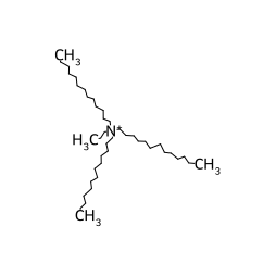 CCCCCCCCCCCCC[N+](CCC)(CCCCCCCCCCCCC)CCCCCCCCCCCCC